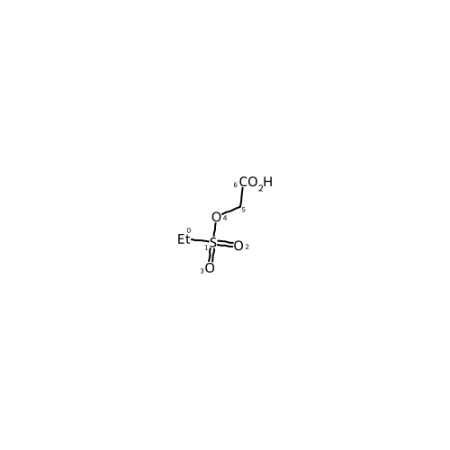 CCS(=O)(=O)OCC(=O)O